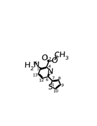 COC(=O)c1nc(-c2cccs2)ccc1N